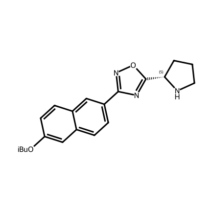 CC(C)COc1ccc2cc(-c3noc([C@@H]4CCCN4)n3)ccc2c1